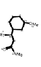 CC[C@H](CC(=O)NC)C1CCCC(OC)C1